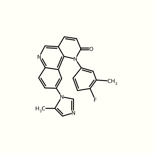 Cc1cc(-n2c(=O)ccc3cnc4ccc(-n5cncc5C)cc4c32)ccc1F